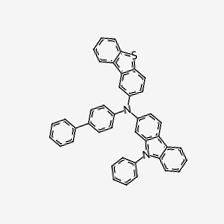 c1ccc(-c2ccc(N(c3ccc4sc5ccccc5c4c3)c3ccc4c5ccccc5n(-c5ccccc5)c4c3)cc2)cc1